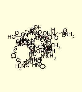 CC(C)C[C@@H]1NC(=O)[C@H](Cc2cccc(NC(=O)CCCS(N)(=O)=O)c2)NC(=O)[C@H](CC(=O)O)NC(=O)[C@H]2CCCN2C(=O)[C@H](CCC(=O)O)NC(=O)[C@@H]2CSCc3cccc(c3)CSC[C@@H](C(N)=O)NC(=O)[C@H](CNC(=O)CC[C@H](NC(=O)CN3CCN(CC(=O)O)CCN(CC(=O)O)CCN(CC(=O)O)CC3)C(=O)N2)NC(=O)[C@H](Cc2c[nH]c3ccccc23)NC(=O)[C@H]([C@@H](C)O)NC1=O